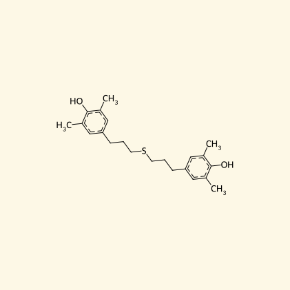 Cc1cc(CCCSCCCc2cc(C)c(O)c(C)c2)cc(C)c1O